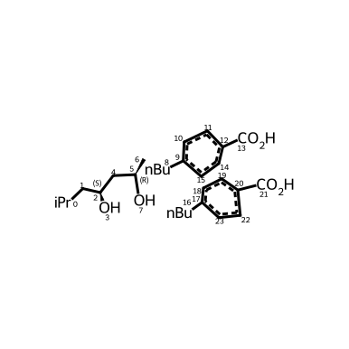 CC(C)C[C@H](O)C[C@@H](C)O.CCCCc1ccc(C(=O)O)cc1.CCCCc1ccc(C(=O)O)cc1